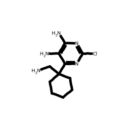 NCC1(c2nc(Cl)nc(N)c2N)CCCCC1